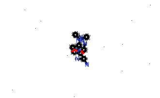 N#Cc1ccc(-c2ccc3c(c2)c2ccccc2n3-c2c(-c3ccccc3C#N)cc(-c3nc(-c4ccccc4)nc(-c4ccccc4)n3)cc2-c2ccccc2C#N)c(C#N)c1